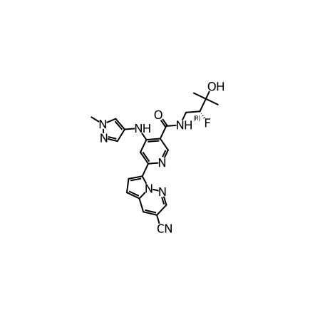 Cn1cc(Nc2cc(-c3ccc4cc(C#N)cnn34)ncc2C(=O)NC[C@@H](F)C(C)(C)O)cn1